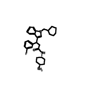 N[C@H]1CC[C@H](NC(=O)CC(c2cccc(F)c2)c2cn(CC3CCCCC3)c3ccccc23)CC1